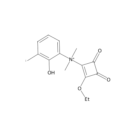 [CH]c1cccc([N+](C)(C)c2c(OCC)c(=O)c2=O)c1O